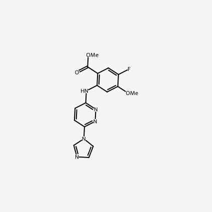 COC(=O)c1cc(F)c(OC)cc1Nc1ccc(-n2ccnc2)nn1